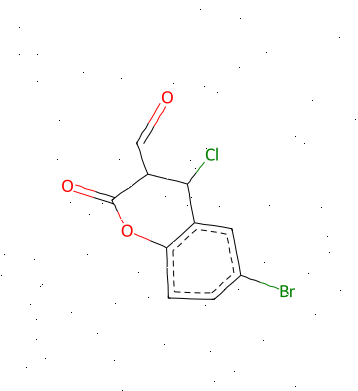 O=CC1C(=O)Oc2ccc(Br)cc2C1Cl